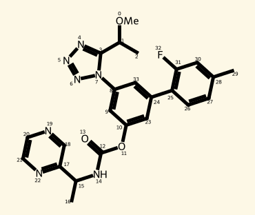 COC(C)c1nnnn1-c1cc(OC(=O)NC(C)c2cnccn2)cc(-c2ccc(C)cc2F)c1